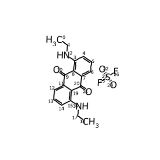 CCNc1cccc2c1C(=O)c1cccc(NCC)c1C2=O.O=S(=O)(F)F